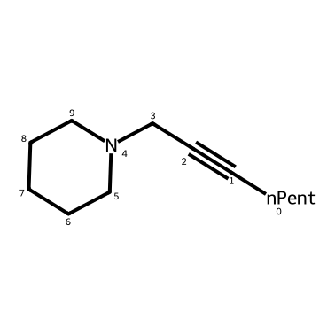 CCCCCC#CCN1CCCCC1